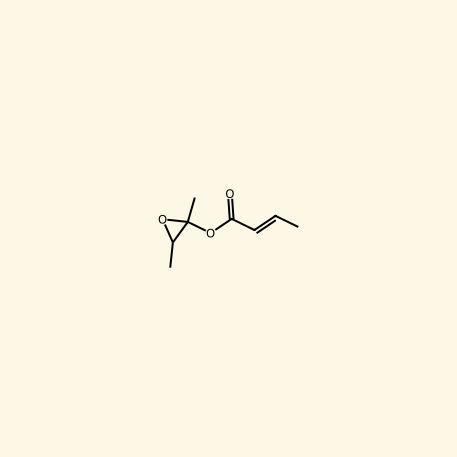 CC=CC(=O)OC1(C)OC1C